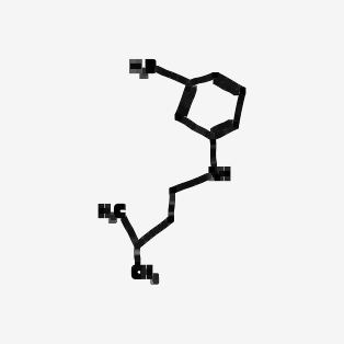 Bc1cccc(NCCC(C)C)c1